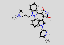 Cc1ccc(-n2cc(C3=C(c4nn(CCCN(C)C)c5ccccc45)C(=O)NC3=O)c3ccccc32)cn1